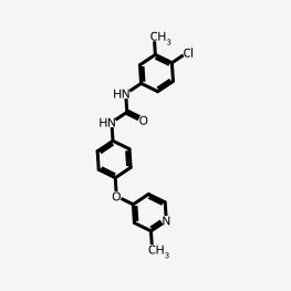 Cc1cc(Oc2ccc(NC(=O)Nc3ccc(Cl)c(C)c3)cc2)ccn1